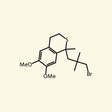 COc1cc2c(cc1OC)C(C)(CC(C)(C)CBr)SCC2